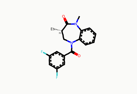 CC[C@H]1CN(C(=O)c2cc(F)cc(F)c2)c2ccccc2N(C)C1=O